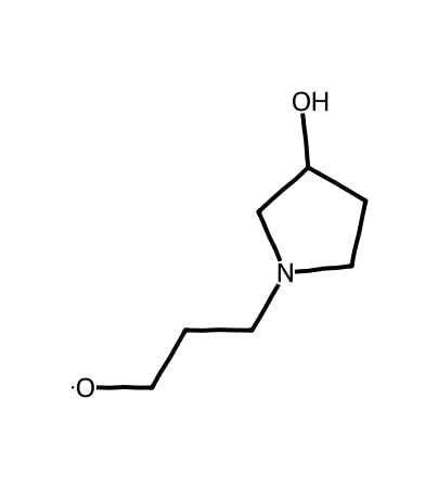 [O]CCCN1CCC(O)C1